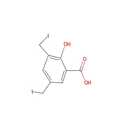 O=C(O)c1cc(CI)cc(CI)c1O